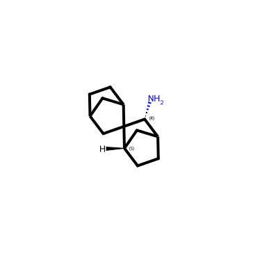 N[C@@H]1C2CC[C@@H](C2)C12CC1CCC2C1